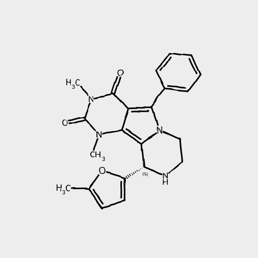 Cc1ccc([C@H]2NCCn3c(-c4ccccc4)c4c(=O)n(C)c(=O)n(C)c4c32)o1